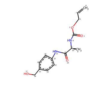 C=CCOC(=O)N[C@@H](C)C(=O)Nc1ccc(CO)cc1